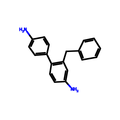 Nc1ccc(-c2ccc(N)cc2Cc2ccccc2)cc1